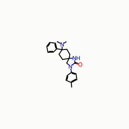 Cc1ccc(N2CC3(CCC(c4ccccc4)(N(C)C)CC3)NC2=O)cc1